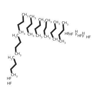 CCCC.CCCC.CCCC.CCCC.CCCC.CCCC.CCCC.CCCC.F.F.F.F.F.F.F.F